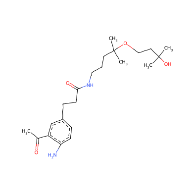 CC(=O)c1cc(CCC(=O)NCCCC(C)(C)OCCC(C)(C)O)ccc1N